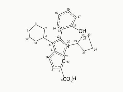 O=C(O)c1ccc2c(C3CCCCC3)c(-c3ccccc3O)n(C3CCCC3)c2c1